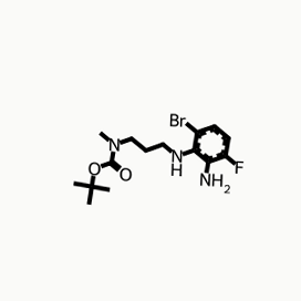 CN(CCCNc1c(Br)ccc(F)c1N)C(=O)OC(C)(C)C